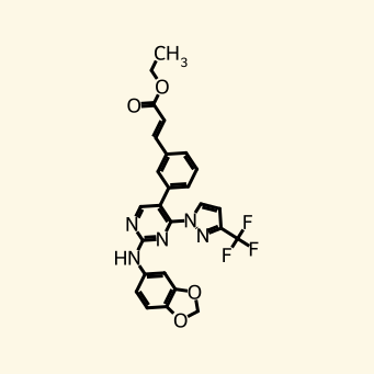 CCOC(=O)/C=C/c1cccc(-c2cnc(Nc3ccc4c(c3)OCO4)nc2-n2ccc(C(F)(F)F)n2)c1